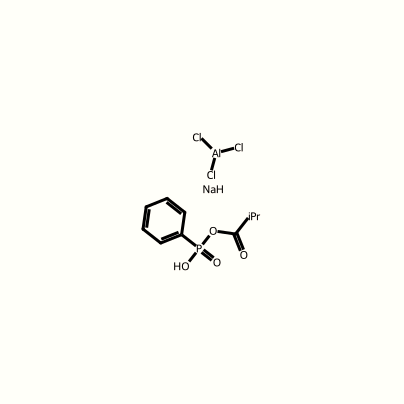 CC(C)C(=O)OP(=O)(O)c1ccccc1.[Cl][Al]([Cl])[Cl].[NaH]